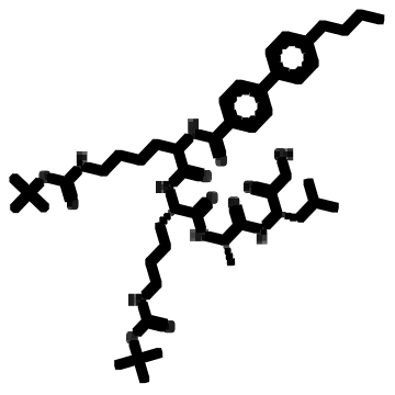 CCCCc1ccc(-c2ccc(C(=O)NC(CCCCNC(=O)OC(C)(C)C)C(=O)N[C@@H](CCCCNC(=O)OC(C)(C)C)C(=O)N[C@@H](C)C(=O)N[C@@H](CC(C)C)C(=O)CO)cc2)cc1